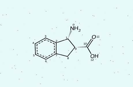 N[C@H]1c2ccccc2C[C@H]1C(=O)O